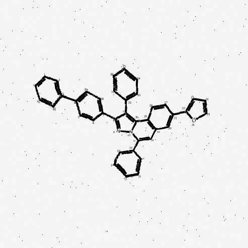 c1ccc(-c2ccc(-c3nn4c(-c5ccccc5)cc5cc(-c6ccco6)ccc5c4c3-c3ccccc3)cc2)cc1